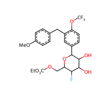 CCOC(=O)OCC1OC(c2ccc(OC(F)(F)F)c(Cc3ccc(OC)cc3)c2)C(O)C(O)C1F